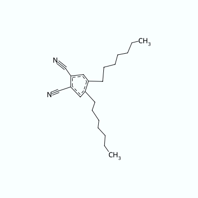 CCCCCCCc1cc(C#N)c(C#N)cc1CCCCCCC